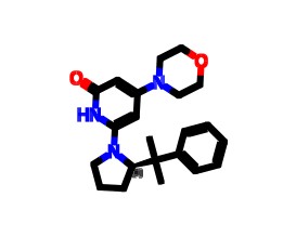 CC(C)(c1ccccc1)[C@H]1CCCN1c1cc(N2CCOCC2)cc(=O)[nH]1